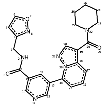 O=C(NCc1ccon1)c1cncc(-c2cccc3c(C(=O)N4CCCCC4)cnn23)c1